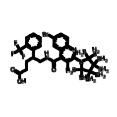 BC1(B)N(c2nc3ccc(Br)cc3c(C(=O)NCC(CCC(=O)O)c3ccccc3C(F)(F)F)c2C)C(B)(B)C(B)(B)C1(B)B